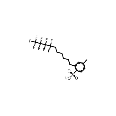 Cc1ccc(S(=O)(=O)O)c(CCCCCCC(F)(F)C(F)(F)C(F)(F)C(F)(F)F)c1